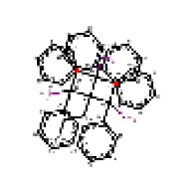 CCCC(C(P)(c1ccccc1)c1ccccc1)(C(P)(c1ccccc1)c1ccccc1)C(P)(c1ccccc1)c1ccccc1